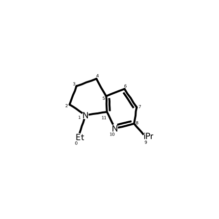 CCN1CCCc2ccc(C(C)C)nc21